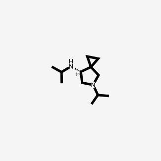 CC(C)N[C@H]1CN(C(C)C)CC12CC2